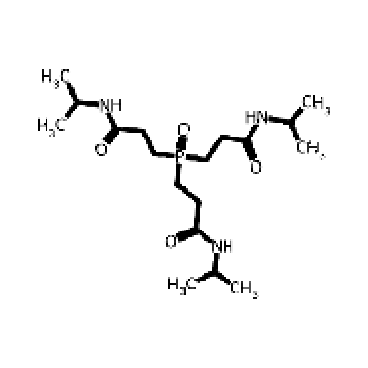 CC(C)NC(=O)CCP(=O)(CCC(=O)NC(C)C)CCC(=O)NC(C)C